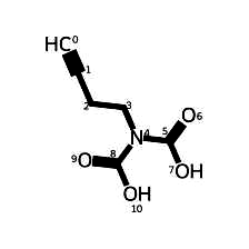 C#CCCN(C(=O)O)C(=O)O